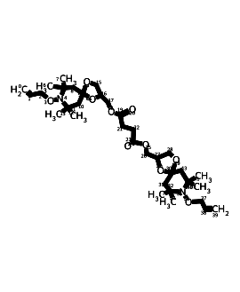 C=CCON1C(C)(C)CC2(CC1(C)C)OCC(COC(=O)CCC(=O)OCC1COC3(CC(C)(C)N(OCC=C)C(C)(C)C3)O1)O2